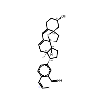 C[C@]12CC=C3C=C4CC[C@@H](O)C[C@]45CC[C@]3(O5)[C@@H]1CC[C@@H]2c1ccc(/C=C\I)c(C=N)c1